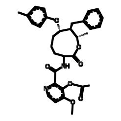 COc1ccnc(C(=O)NC2CCC[C@H](Oc3ccc(C)cc3)[C@@H](Cc3ccccc3)[C@H](C)OC2=O)c1OC(C)=O